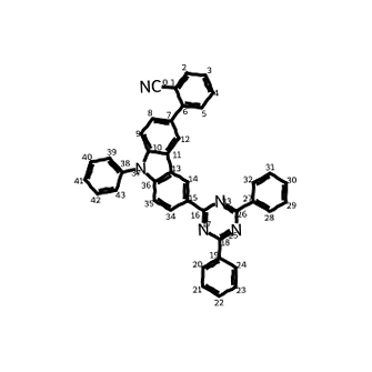 N#Cc1ccccc1-c1ccc2c(c1)c1cc(-c3nc(-c4ccccc4)nc(-c4ccccc4)n3)ccc1n2-c1ccccc1